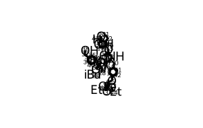 CCOP(=O)(COc1ccc(C[C@H](NC(=O)O[C@H]2CO[C@H]3OCC[C@H]32)[C@H](O)CN(C[C@@H](C)CC)S(=O)(=O)c2ccc(CO)cc2)cc1)OCC